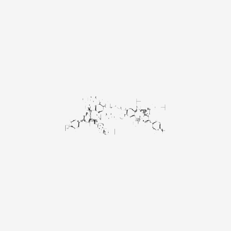 COc1cc2c(cc1OCCCOc1cc3c(cc1OC)C(=O)N1C=C(c4ccc(F)cc4)C[C@H]1[C@H](S(=O)(=O)O)N3)N=C(SOOO)[C@@H]1CC(c3ccc(F)cc3)=CN1C2=O